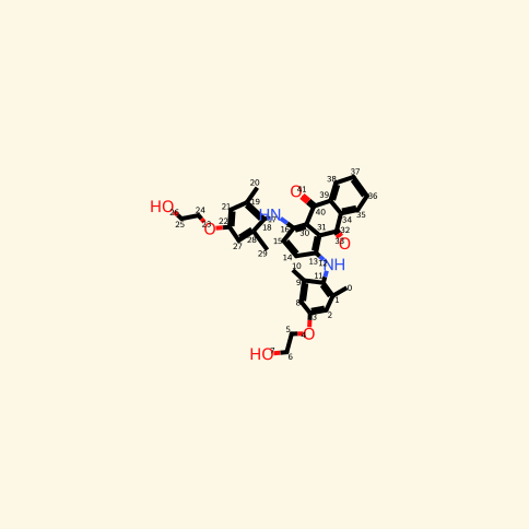 Cc1cc(OCCO)cc(C)c1Nc1ccc(Nc2c(C)cc(OCCO)cc2C)c2c1C(=O)c1ccccc1C2=O